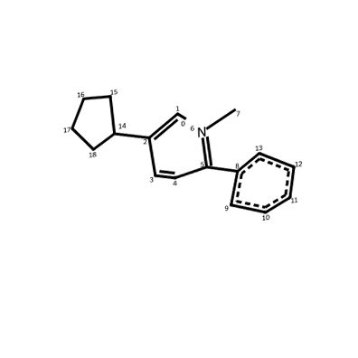 C\C=C(/C=C\C(=N\C)c1ccccc1)C1CCCC1